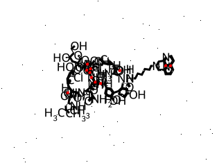 CN[C@H](CC(C)C)C(=O)N[C@H]1C(=O)N[C@@H](CC(N)=O)C(=O)N[C@H]2C(=O)N[C@H]3C(=O)N[C@H](C(=O)N[C@H](C(=O)NCCCCCCN(Cc4ccccn4)Cc4ccccn4)c4cc(O)cc(O)c4-c4cc3ccc4O)[C@H](O)c3ccc(c(Cl)c3)Oc3cc2cc(c3O[C@H]2O[C@H](CO)[C@H](O)C(O)C2O[C@H](O)C[C@@](C)(N)[C@H](O)C(C)I)Oc2ccc(cc2Cl)[C@H]1O